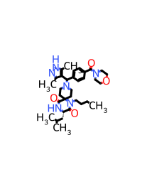 CCCCN1C(=O)[C@H](CC(C)C)NC(=O)C12CCN(C(c1ccc(C(=O)N3CCOCC3)cc1)c1c(C)n[nH]c1C)CC2